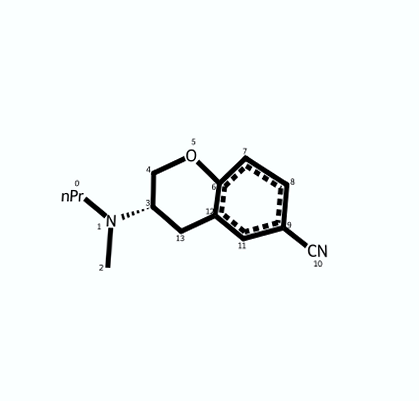 CCCN(C)[C@@H]1COc2ccc(C#N)cc2C1